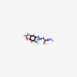 NC(=O)CNCc1cc2c(cc1Cl)OCO2